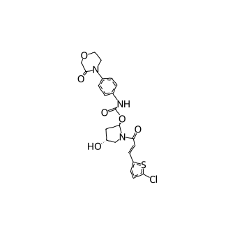 O=C(Nc1ccc(N2CCOCC2=O)cc1)O[C@@H]1C[C@@H](O)CN1C(=O)/C=C/c1ccc(Cl)s1